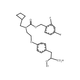 CCOC(Cc1ccc(OCCN(CC2CCC2)C(=O)OCc2ccc(F)cc2F)cc1)C(=O)O